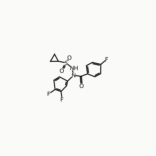 O=C(c1ccc(F)cc1)N(NS(=O)(=O)C1CC1)c1ccc(F)c(F)c1